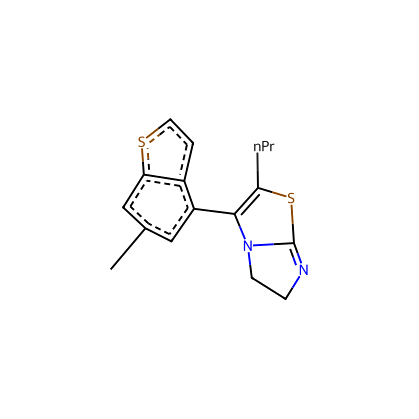 CCCC1=C(c2cc(C)cc3sccc23)N2CCN=C2S1